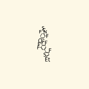 CCc1cc(F)c(-c2cc(F)c(C(F)(F)Oc3cc(F)c(N=C=S)c(F)c3)c(F)c2)s1